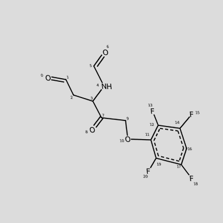 O=CCC(NC=O)C(=O)COc1c(F)c(F)cc(F)c1F